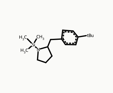 CC(C)(C)c1ccc(CC2CCCN2[Si](C)(C)C)cc1